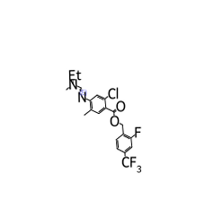 CCN(C)/C=N/c1cc(Cl)c(C(=O)OCc2ccc(C(F)(F)F)cc2F)cc1C